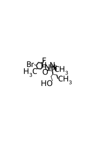 C/C=C/C(CCO)=C(/C(=O)Nc1cc(C)c(Br)cc1F)N(C)N